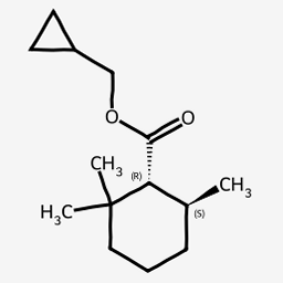 C[C@H]1CCCC(C)(C)[C@@H]1C(=O)OCC1CC1